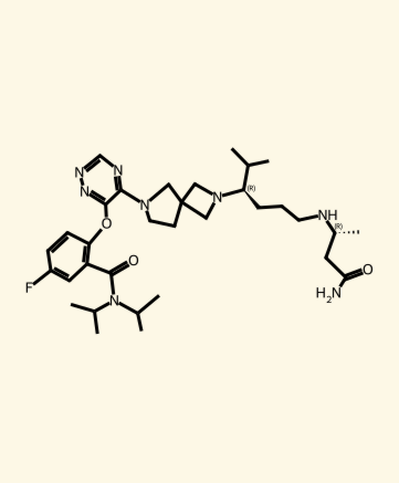 CC(C)[C@@H](CCCN[C@H](C)CC(N)=O)N1CC2(CCN(c3ncnnc3Oc3ccc(F)cc3C(=O)N(C(C)C)C(C)C)C2)C1